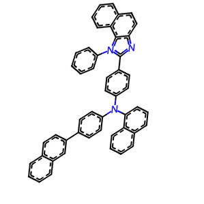 c1ccc(-n2c(-c3ccc(N(c4ccc(-c5ccc6ccccc6c5)cc4)c4cccc5ccccc45)cc3)nc3ccc4ccccc4c32)cc1